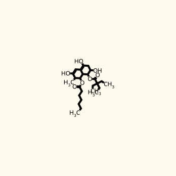 CCCCCCC(=O)OC1C(C)C(O)=CC2=C(O)CC(O)C(OC(=O)C(CC)(CC)CC)C21